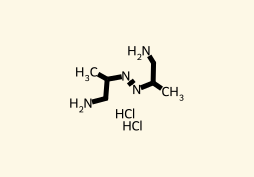 CC(CN)N=NC(C)CN.Cl.Cl